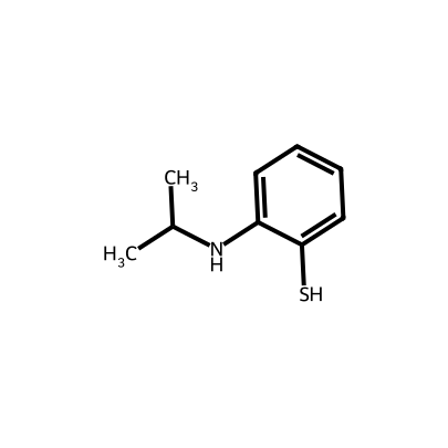 CC(C)Nc1ccccc1S